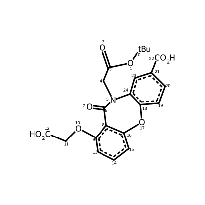 CC(C)(C)OC(=O)CN1C(=O)c2c(OCC(=O)O)cccc2Oc2ccc(C(=O)O)cc21